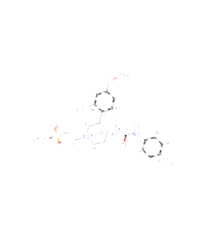 COc1cc(F)c(C2CN(CCS(C)(=O)=O)CC[C@H]2NC(=O)Nc2ccc(Cl)cc2)c(F)c1